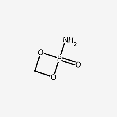 NP1(=O)OCO1